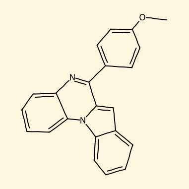 COc1ccc(-c2nc3ccccc3n3c2cc2ccccc23)cc1